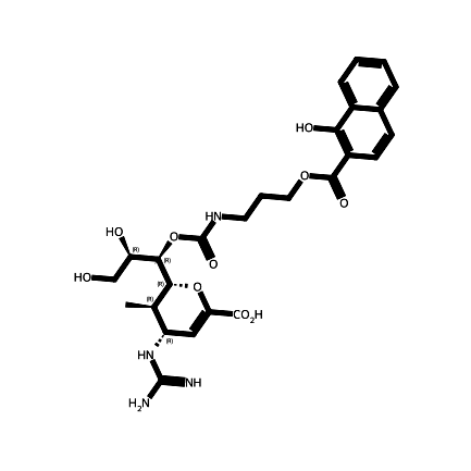 C[C@H]1[C@H]([C@H](OC(=O)NCCCOC(=O)c2ccc3ccccc3c2O)[C@H](O)CO)OC(C(=O)O)=C[C@@H]1NC(=N)N